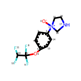 [O-][N+]1(c2ccc(OC(F)(F)C(F)F)cc2)CCNC1